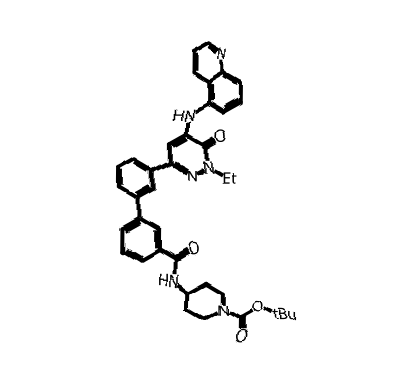 CCn1nc(-c2cccc(-c3cccc(C(=O)NC4CCN(C(=O)OC(C)(C)C)CC4)c3)c2)cc(Nc2cccc3ncccc23)c1=O